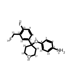 Nc1ccc(OC2(c3ccc(F)c(CF)c3)CCOCC2)cc1